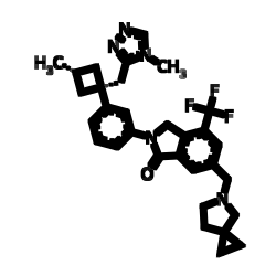 Cn1cnnc1C[C@]1(c2cccc(N3Cc4c(cc(CN5CCC6(CC6)C5)cc4C(F)(F)F)C3=O)c2)C[C@H](C)C1